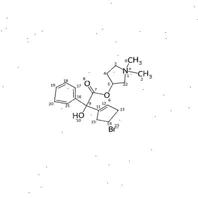 C[N+]1(C)CCC(OC(=O)C(O)(C2=CCCC2)c2ccccc2)C1.[Br-]